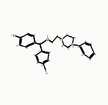 Fc1ccc(C(OCCN2CCN(c3cc[c]cc3)CC2)c2ccc(F)cc2)cc1